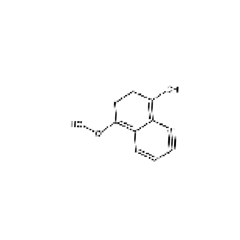 OOC1=c2ccc#cc2=C(O)CC1